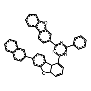 C1=CC2Oc3cc(-c4ccc5ccccc5c4)ccc3C2C(c2nc(-c3ccccc3)nc(-c3ccc4c(c3)oc3ccccc34)n2)=C1